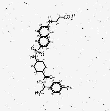 CC(NC(=O)C1CCC(NS(=O)(=O)c2ccc3nc(NCCC(=O)O)ccc3c2)CC1)c1ccc(F)cc1